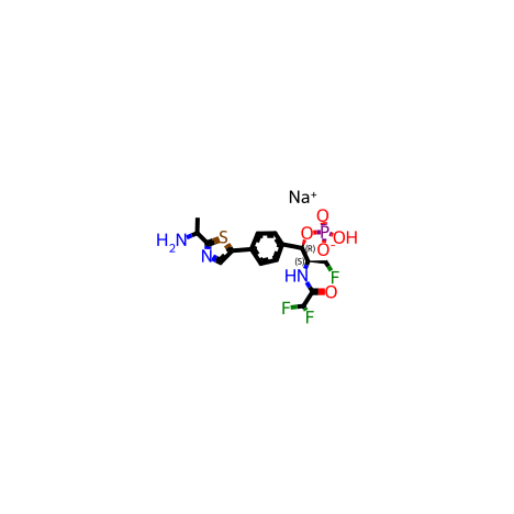 CC(N)c1ncc(-c2ccc([C@@H](OP(=O)([O-])O)[C@@H](CF)NC(=O)C(F)F)cc2)s1.[Na+]